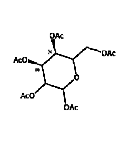 CC(=O)OCC1OC(OC(C)=O)C(OC(C)=O)[C@@H](OC(C)=O)[C@H]1OC(C)=O